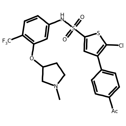 CC(=O)c1ccc(-c2cc(S(=O)(=O)Nc3ccc(C(F)(F)F)c(OC4CCN(C)C4)c3)sc2Cl)cc1